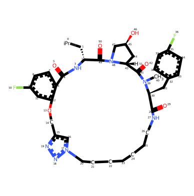 CC(C)C[C@H]1NC(=O)c2ccc(F)cc2OCc2cn(nn2)CCCCCCCNC(=O)[C@H](Cc2ccc(F)cc2)N(C)C(=O)[C@H]2C[C@H](O)CN2C1=O